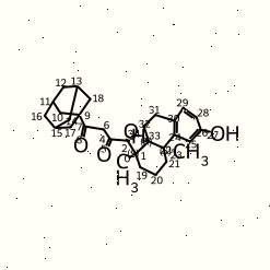 C[C@]1(C(=O)C(=O)CC(=O)C23CC4CC(CC(C4)C2)C3)CCC[C@]2(C)c3cc(O)ccc3CC[C@@H]12